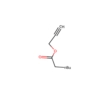 C#CCOC(=O)CCCC[CH2]